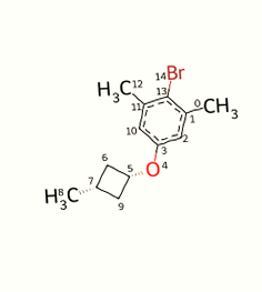 Cc1cc(O[C@H]2C[C@@H](C)C2)cc(C)c1Br